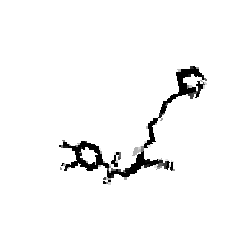 NC(=CS(=O)(=O)c1ccc(Cl)c(Cl)c1)NCCSCc1ccon1